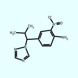 CC(C)C(c1ccc(N)c([N+](=O)[O-])c1)n1cncn1